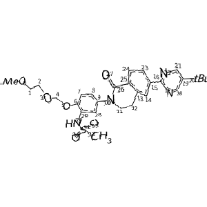 COCCOCOc1ccc(N2CCc3cc(-c4ncc(C(C)(C)C)cn4)ccc3C2=O)cc1NS(C)(=O)=O